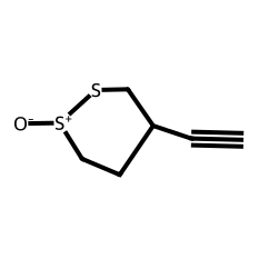 C#CC1CC[S+]([O-])SC1